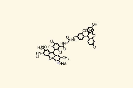 CC/N=c1/cc2oc3cc(NCC)c(C)cc3c(-c3c(Cl)c(C(=O)NCC(=O)NCc4ccc(-c5c6ccc(=O)cc-6oc6cc(O)ccc56)c(C(=O)O)c4)cc(Cl)c3C(=O)O)c-2cc1C